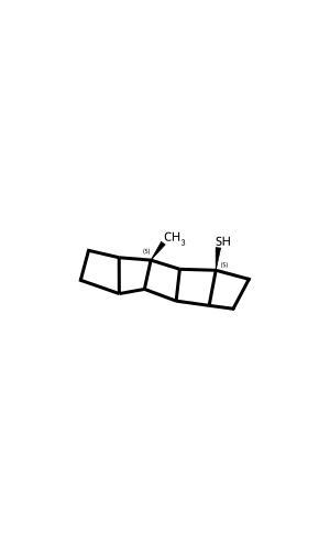 C[C@]12C3CCC3C1C1C3CC[C@@]3(S)C12